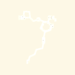 Cc1ncc(C#CCCCCF)cc1OCC1CCN1